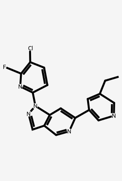 CCc1cncc(-c2cc3c(cn2)cnn3-c2ccc(Cl)c(F)n2)c1